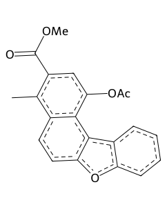 COC(=O)c1cc(OC(C)=O)c2c(ccc3oc4ccccc4c32)c1C